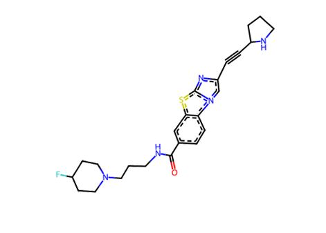 O=C(NCCCN1CCC(F)CC1)c1ccc2c(c1)sc1nc(C#CC3CCCN3)cn12